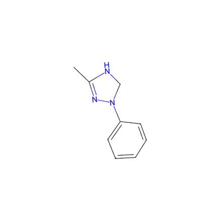 CC1=NN(c2ccccc2)CN1